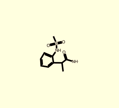 CC(C([NH])=O)c1ccccc1NS(C)(=O)=O